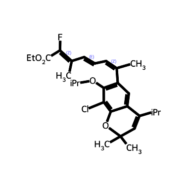 CCOC(=O)/C(F)=C(C)/C=C/C=C(/C)c1cc2c(c(Cl)c1OC(C)C)OC(C)(C)C=C2C(C)C